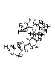 [2H]C([2H])([2H])N1C(=O)c2cccc(OC(F)F)c2[C@H]2C[C@@H]1c1nc3ccc(-c4cnc5c(c4)OCC[C@@H]5N)cc3n12